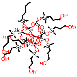 CCCC[Si](C)(C)O[Si]12O[Si]3(O[Si](C)(C)CCCO)O[Si]4(O[Si](C)(C)CCCO)O[Si](O[Si](C)(C)CCCO)(O1)O[Si]1(O[Si](C)(C)CCCO)O[Si](O[Si](C)(C)CCCO)(O2)O[Si](O[Si](C)(C)CCCO)(O3)O[Si](O[Si](C)(C)CCCO)(O4)O1